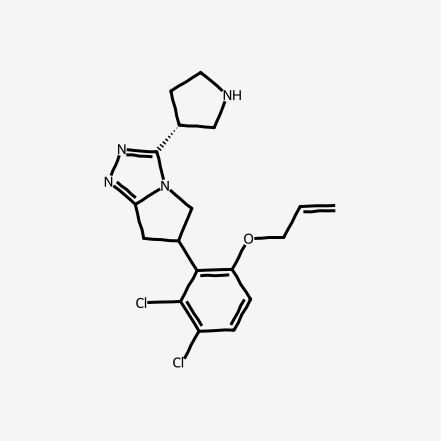 C=CCOc1ccc(Cl)c(Cl)c1C1Cc2nnc([C@@H]3CCNC3)n2C1